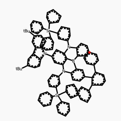 CC(C)(C)c1ccc2c(c1)c1cc(C(C)(C)C)ccc1n2-c1cc2c3c(c1)N(c1cccc([Si](c4ccccc4)(c4ccccc4)c4ccccc4)c1)c1ccc(-c4c(-c5ccccc5)cccc4-c4ccccc4)cc1B3c1ccccc1N2c1cccc([Si](c2ccccc2)(c2ccccc2)c2ccccc2)c1